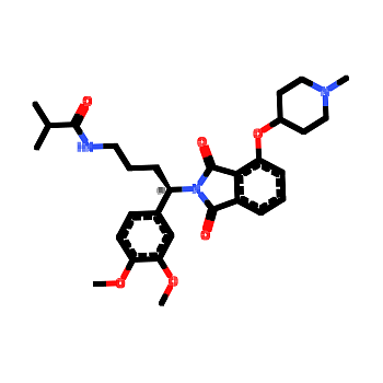 COc1ccc([C@@H](CCCNC(=O)C(C)C)N2C(=O)c3cccc(OC4CCN(C)CC4)c3C2=O)cc1OC